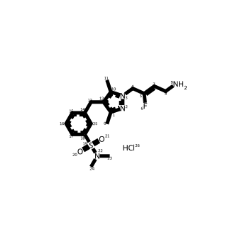 Cc1nn(C/C(F)=C/CN)c(C)c1Cc1cccc(S(=O)(=O)N(C)C)c1.Cl